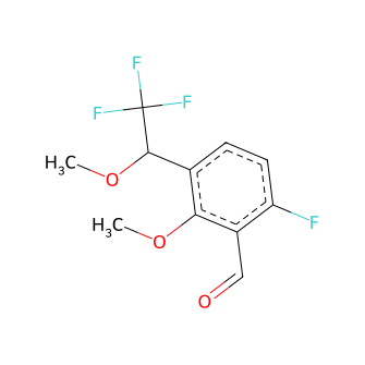 COc1c(C(OC)C(F)(F)F)ccc(F)c1C=O